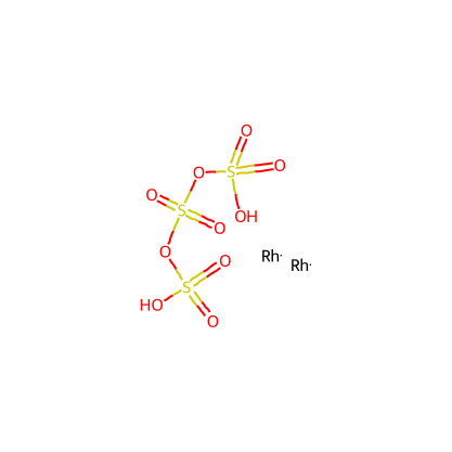 O=S(=O)(O)OS(=O)(=O)OS(=O)(=O)O.[Rh].[Rh]